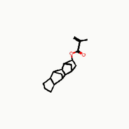 C=C(C)C(=O)OC1CC2CC1C1C3CC(C4CCCC43)C21